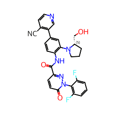 N#Cc1ccncc1-c1ccc(NC(=O)c2ccc(=O)n(-c3c(F)cccc3F)n2)c(N2CCC[C@H]2CO)c1